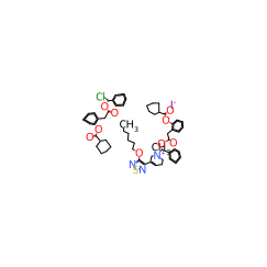 CCCCCCOc1nsnc1C1=CCC[N+](C)(C(OC(=O)Cc2ccccc2OC(=O)C2CCCCC2)c2ccccc2)C1.O=C(Cc1ccccc1OC(=O)C1CCCCC1)OC(Cl)c1ccccc1.[I-]